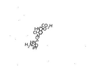 CC(C)C(N)C(=O)NC1CC12CCN(c1ccc3c(=O)c(C(=O)O)cn(C4CC4)c3c1Cl)C2